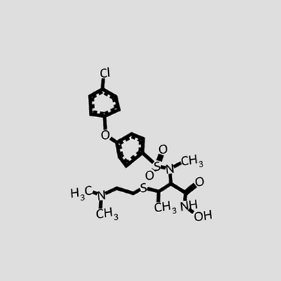 CC(SCCN(C)C)C(C(=O)NO)N(C)S(=O)(=O)c1ccc(Oc2ccc(Cl)cc2)cc1